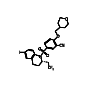 N#Cc1cc(S(=O)(=O)N2c3ccc(I)cc3CC[C@H]2CC(F)(F)F)ccc1OCC1CCOCC1